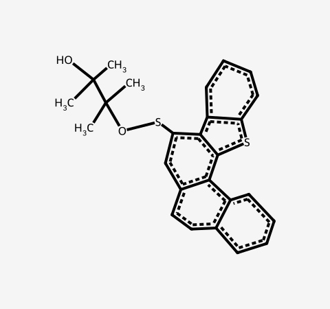 CC(C)(O)C(C)(C)OSc1cc2ccc3ccccc3c2c2sc3ccccc3c12